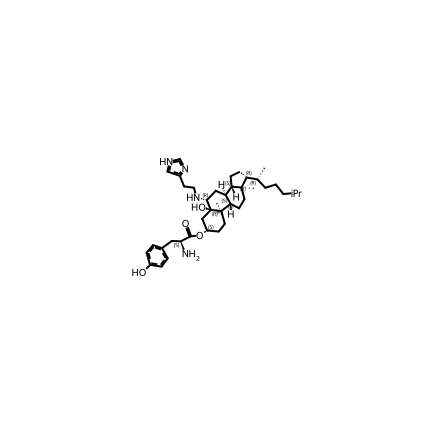 CC(C)CCC[C@@H](C)[C@H]1CC[C@H]2[C@@H]3C[C@@H](NCCc4c[nH]cn4)[C@@]4(O)C[C@@H](OC(=O)[C@@H](N)Cc5ccc(O)cc5)CC[C@]4(C)[C@H]3CC[C@]12C